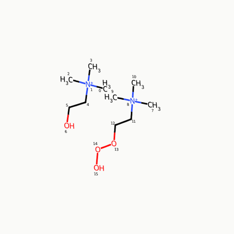 C[N+](C)(C)CCO.C[N+](C)(C)CCOOO